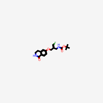 CC(C)(C)OC(=O)NCC(=CF)COc1ccc2c(c1)CCNC2=O